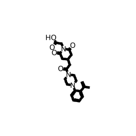 C=C(C)c1ccccc1N1CCN(C(=O)CC2CC(=O)N(CC(=O)O)C(=O)C2)CC1